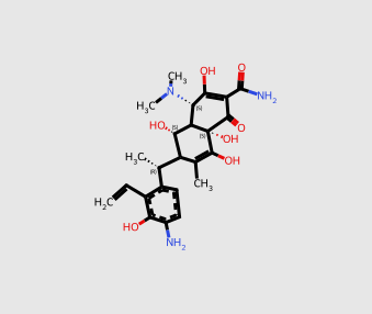 C=Cc1c([C@H](C)C2C(C)=C(O)[C@]3(O)C(=O)C(C(N)=O)=C(O)[C@@H](N(C)C)C3[C@H]2O)ccc(N)c1O